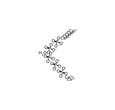 O.O=P([O-])([O-])[O-].O=P([O-])([O-])[O-].O=P([O-])([O-])[O-].O=P([O-])([O-])[O-].O=S(=O)([O-])[O-].[Ca+2].[Ca+2].[Ca+2].[Ca+2].[Ca+2].[Ca+2].[Ca+2]